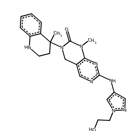 CN1C(=O)N(C2(C)CCNc3ccccc32)Cc2cnc(Nc3cnn(CCO)c3)nc21